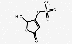 CC1OC(=O)C=C1OS(=O)(=O)C(F)(F)F